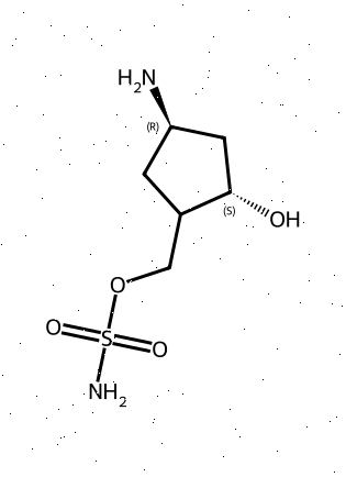 N[C@@H]1CC(COS(N)(=O)=O)[C@@H](O)C1